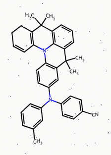 Cc1cccc(N(c2ccc(C#N)cc2)c2ccc3c(c2)C(C)(C)c2cccc4c2N3C2=C(CCC=C2)C4(C)C)c1